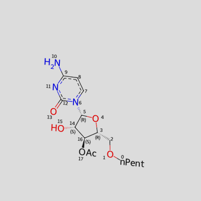 CCCCCOC[C@H]1O[C@@H](n2ccc(N)nc2=O)[C@@H](O)[C@@H]1OC(C)=O